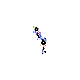 C#CN(CC)CCCOc1cc2ncnc(Nc3cc(CC(=O)Nc4cccc(F)c4)[nH]n3)c2cc1F